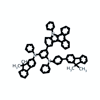 CC1(C)c2ccccc2-c2ccc(-c3ccc(N(c4ccccc4)c4cc(-c5ccc6c(c5)c5c7ccccc7c7ccccc7c5n6-c5ccccc5)cc(N(c5ccccc5)c5ccc6c(c5)C(C)(C)c5ccccc5-6)c4)cc3)cc21